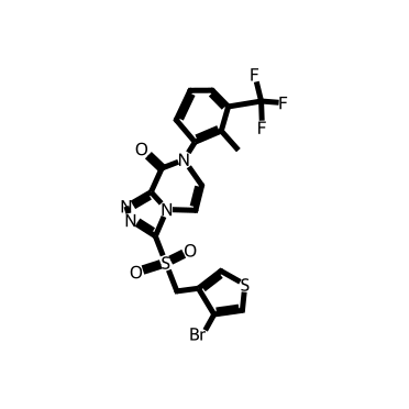 Cc1c(-n2ccn3c(S(=O)(=O)Cc4cscc4Br)nnc3c2=O)cccc1C(F)(F)F